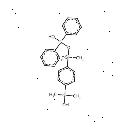 C[Si](C)(O)c1ccc([Si](C)(C)O[Si](O)(c2ccccc2)c2ccccc2)cc1